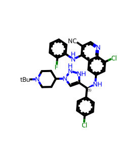 CC(C)(C)N1CCC(N2C=C([C@@H](Nc3cc(Cl)c4ncc(C#N)c(Nc5ccccc5F)c4c3)c3ccc(Cl)cc3)NN2)CC1